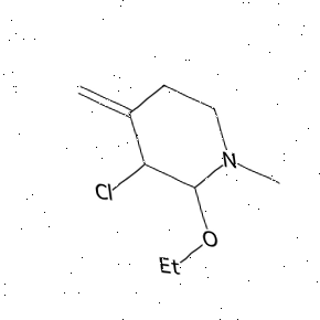 C=C1CCN(C)C(OCC)C1Cl